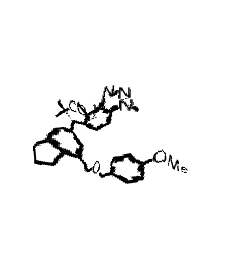 COc1ccc(COCc2cc([C@@H](c3ccc4c(nnn4C)c3C)C(C)(C)C(=O)O)cc3c2CCC3)cc1